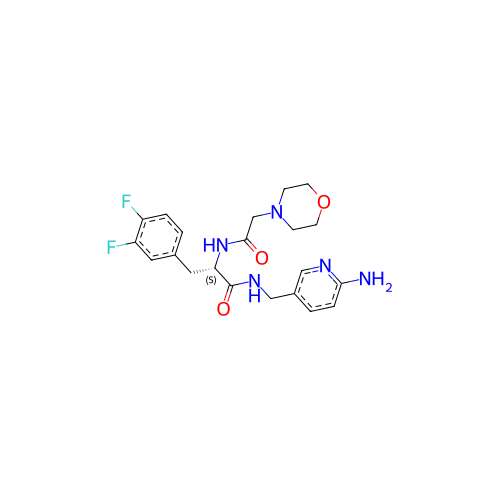 Nc1ccc(CNC(=O)[C@H](Cc2ccc(F)c(F)c2)NC(=O)CN2CCOCC2)cn1